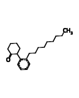 CCCCCCCCCc1ccccc1C1CCCCC1=O